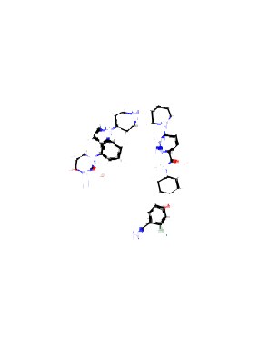 N#Cc1ccc(O[C@H]2CC[C@H](NC(=O)c3ccc(N4CCC[C@@H](CN5CCC(n6ccc7c(N8CCC(=O)NC8=O)cccc76)CC5)C4)nn3)CC2)cc1Cl